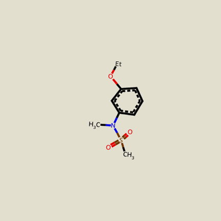 CCOc1cccc(N(C)S(C)(=O)=O)c1